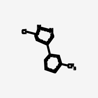 FC(F)(F)c1cccc(-c2cnnc(Cl)c2)c1